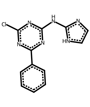 Clc1nc(Nc2ncc[nH]2)nc(-c2ccccc2)n1